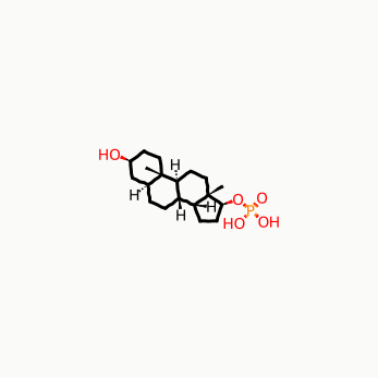 C[C@]12CC[C@H](O)C[C@@H]1CC[C@H]1[C@H]3CC[C@H](OP(=O)(O)O)[C@@]3(C)CC[C@@H]12